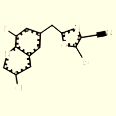 N#Cc1nc(Cc2cc(F)c3ncc(Cl)cc3c2)oc1Br